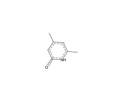 Cc1[c]c(C)[nH]c(=O)c1